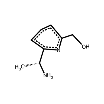 C[C@@H](N)c1cccc(CO)n1